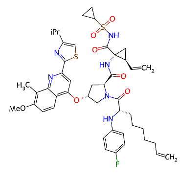 C=CCCCCC[C@H](Nc1ccc(F)cc1)C(=O)N1C[C@H](Oc2cc(-c3nc(C(C)C)cs3)nc3c(C)c(OC)ccc23)C[C@H]1C(=O)N[C@]1(C(=O)NS(=O)(=O)C2CC2)C[C@H]1C=C